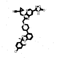 C[C@]1(c2ccc(Cl)cc2F)Oc2cccc(C3CCN(Cc4nc5cc(-c6noc(=O)[nH]6)cnc5n4CC4(C#N)CC4)CC3)c2O1